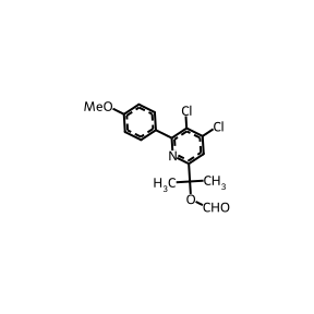 COc1ccc(-c2nc(C(C)(C)OC=O)cc(Cl)c2Cl)cc1